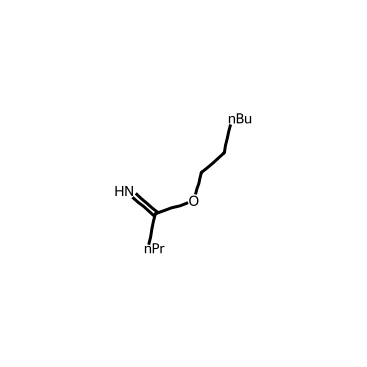 CCCCCCOC(=N)CCC